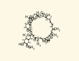 CO[C@H]1C[C@@H]2CC[C@@H](C)[C@@](O)(O2)C(=O)C(=O)N2CCCCC2C(=O)O[C@H]([C@H](C)CC2CC[C@@H](O)[C@H](OC)C2)CC(=O)[C@H](C)/C=C/[C@@H](O)[C@@H](OC)C(=O)[C@H](C)C[C@H](C)/C=C/C=C/C=C/1C